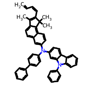 C=C/C=C\C1=C(C)c2ccc3cc(N(c4ccc(-c5ccccc5)cc4)c4ccc5c6ccccc6n(-c6ccccc6)c5c4)ccc3c2C1(C)C